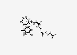 CC(C)=CCCC(C)=CCCC(C)=CCSC1(Sc2cc(C)c(O)c(C)c2)CCCCCC1